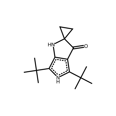 CC(C)(C)c1[nH]c(C(C)(C)C)c2c1NC1(CC1)C2=O